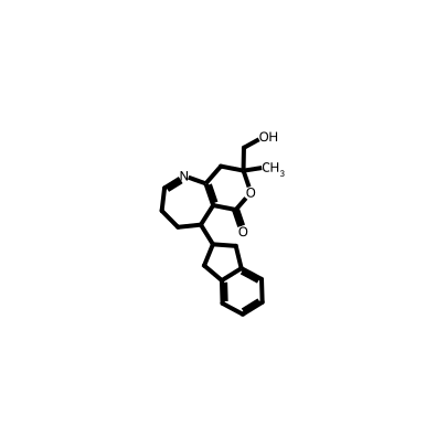 CC1(CO)CC2=C(C(=O)O1)C(C1Cc3ccccc3C1)CCC=N2